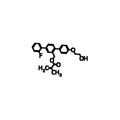 C=C(C)C(=O)OCc1cc(-c2ccccc2F)ccc1-c1ccc(OCCO)cc1